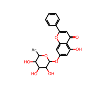 CC(=O)C1OC(Oc2cc(O)c3c(=O)cc(-c4ccccc4)oc3c2)C(O)C(O)C1O